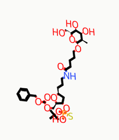 C[C@H]1[C@H](OCCCCC(=O)NCCC[C@H]2CC(OP(O)(=S)OC(C)(C)C)[C@@H](COC(=O)OCc3ccccc3)O2)O[C@H](CO)[C@H](O)[C@@H]1O